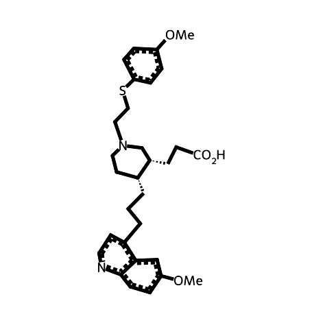 COc1ccc(SCCN2CC[C@@H](CCCc3ccnc4ccc(OC)cc34)[C@@H](CCC(=O)O)C2)cc1